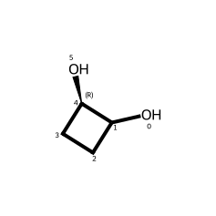 OC1CC[C@H]1O